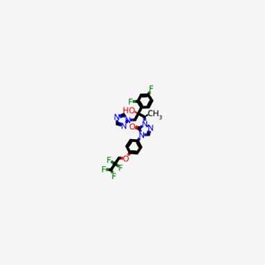 C[C@@H](n1ncn(-c2ccc(OCC(F)(F)C(F)F)cc2)c1=O)[C@](O)(Cn1cncn1)c1ccc(F)cc1F